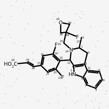 CC1Cc2c([nH]c3ccccc23)C(c2c(F)cc(/C=C/C(=O)O)cc2F)N1CC1(F)COC1